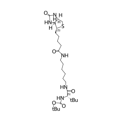 CC(C)(C)OC(=O)N[C@H](C(=O)NCCCCCCNC(=O)CCCC[C@@H]1SC[C@@H]2NC(=O)N[C@@H]21)C(C)(C)C